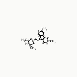 Cc1cc2c3c(n(CCN4C[C@@H](C)N[C@H](C)C4)c2cn1)CCN(C)C3